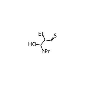 CCCC(O)C(C=S)CC